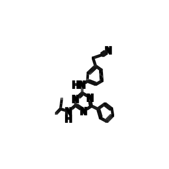 CC(C)Nc1nc(Nc2cccc(CC#N)c2)nc(-c2ccccc2)n1